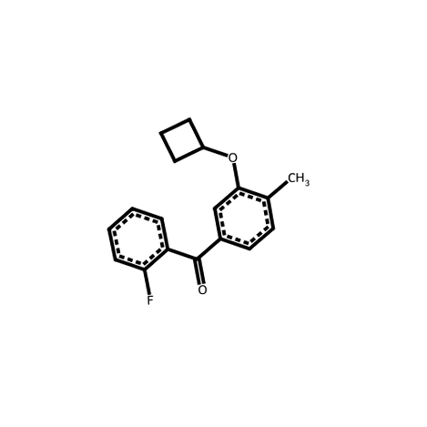 Cc1ccc(C(=O)c2ccccc2F)cc1OC1CCC1